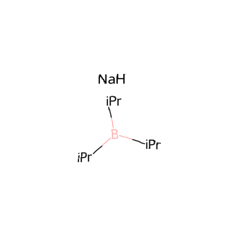 CC(C)B(C(C)C)C(C)C.[NaH]